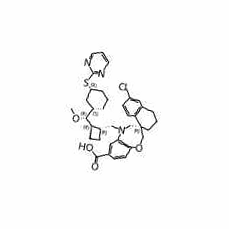 CO[C@H]([C@H]1CCC[C@@H](Sc2ncccn2)C1)[C@@H]1CC[C@H]1CN1C[C@]2(CCCc3cc(Cl)ccc32)COc2ccc(C(=O)O)cc21